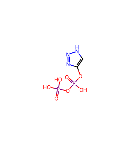 O=P(O)(O)OP(=O)(O)Oc1c[nH]nn1